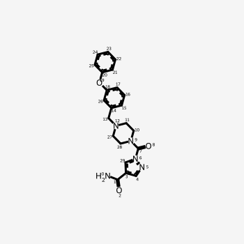 NC(=O)c1cnn(C(=O)N2CCN(Cc3cccc(Oc4ccccc4)c3)CC2)c1